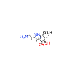 NCCC(N)Cc1cc(S(=O)(=O)O)cc(O)c1O